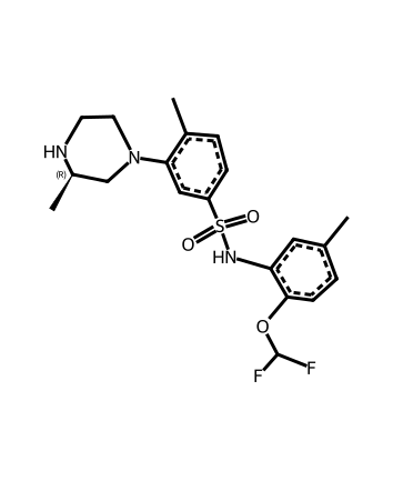 Cc1ccc(OC(F)F)c(NS(=O)(=O)c2ccc(C)c(N3CCN[C@H](C)C3)c2)c1